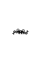 C=C(C)c1cccc(C(C)(C)NC(=O)c2ccc(C(=O)NC(C)(C)c3cccc(C(=C)C)c3)cc2)c1